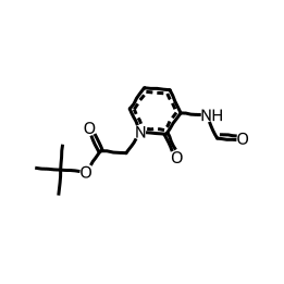 CC(C)(C)OC(=O)Cn1cccc(NC=O)c1=O